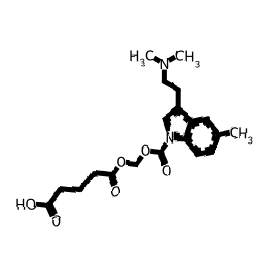 Cc1ccc2c(c1)c(CCN(C)C)cn2C(=O)OCOC(=O)CCCC(=O)O